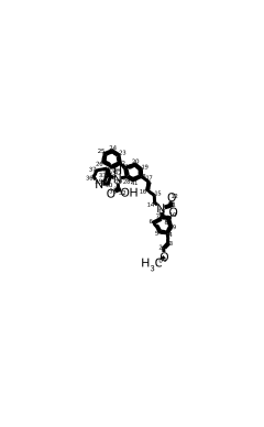 COC=Cc1ccc2c(c1)oc(=O)n2CCC=Cc1ccc(-c2ccccc2)c(N(C(=O)O)[C@H]2CN3CCC2CC3)c1